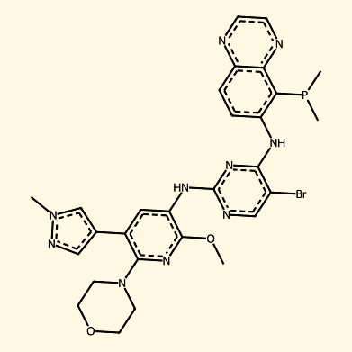 COc1nc(N2CCOCC2)c(-c2cnn(C)c2)cc1Nc1ncc(Br)c(Nc2ccc3nccnc3c2P(C)C)n1